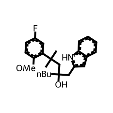 CCCCC(O)(Cc1cc2ccccc2[nH]1)CC(C)(C)c1cc(F)ccc1OC